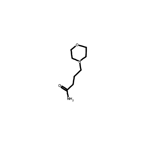 NC(=O)CCCN1CCOCC1